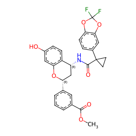 COC(=O)c1cccc([C@H]2C[C@@H](NC(=O)C3(c4ccc5c(c4)OC(F)(F)O5)CC3)c3ccc(O)cc3O2)c1